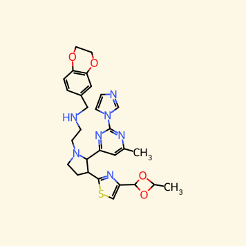 Cc1cc(C2C(c3nc(C4OC(C)O4)cs3)CCN2CCNCc2ccc3c(c2)OCCO3)nc(-n2ccnc2)n1